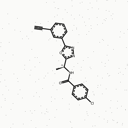 C#Cc1cccc(-c2nnc([C@H](C)NC(=O)c3ccc(Cl)cc3)o2)c1